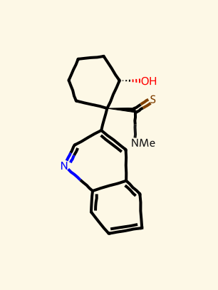 CNC(=S)[C@@]1(c2cnc3ccccc3c2)CCCC[C@@H]1O